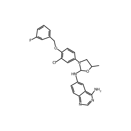 CC1CN(c2ccc(OCc3cccc(F)c3)c(Cl)c2)C(Nc2ccc3ncnc(N)c3c2)O1